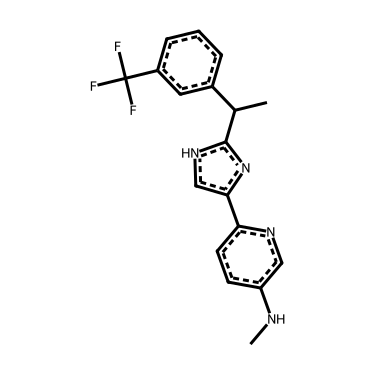 CNc1ccc(-c2c[nH]c(C(C)c3cccc(C(F)(F)F)c3)n2)nc1